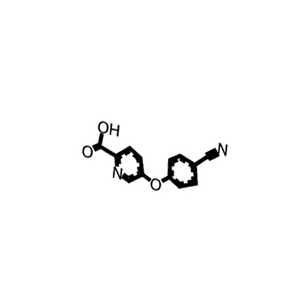 N#Cc1ccc(Oc2ccc(C(=O)O)nc2)cc1